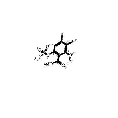 COC(=O)c1c(OS(=O)(=O)C(F)(F)F)cc(C)c(F)c1OC(C)C